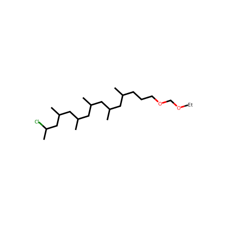 CCOCOCCCC(C)CC(C)CC(C)CC(C)CC(C)CC(C)Cl